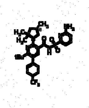 C[C@@H]1CN(c2nc(C(C)(C)C)c(C3=CCC(C(F)(F)F)CC3)cc2C(=O)NS(=O)(=O)c2cccc(N)n2)C(C)(C)C1